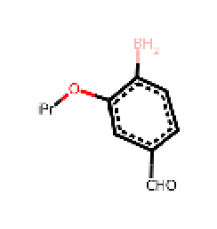 Bc1ccc(C=O)cc1OC(C)C